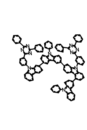 c1ccc(-c2nc(-c3ccccc3)nc(-c3cccc(-n4c5ccccc5c5ccc(-c6ccc7c(c6)c6cc(-c8ccc9c%10c(-c%11ccc%12c(c%11)c%11ccccc%11n%12-c%11ccccc%11)cccc%10n(-c%10cccc(-c%11nc(-c%12ccccc%12)nc(-c%12ccccc%12)n%11)c%10)c9c8)ccc6n7-c6ccccc6)cc54)c3)n2)cc1